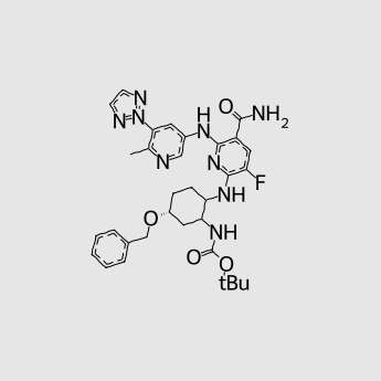 Cc1ncc(Nc2nc(NC3CC[C@@H](OCc4ccccc4)CC3NC(=O)OC(C)(C)C)c(F)cc2C(N)=O)cc1-n1nccn1